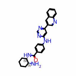 N[C@H]1CCCC[C@@H]1NC(=O)c1ccc(Nc2cc(-c3cnc4ccccc4c3)ncn2)cc1